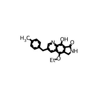 CCOc1c2c(c(O)c3ncc(Cc4ccc(C)cc4)cc13)C(=O)NC2